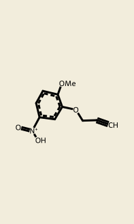 C#CCOc1cc([N+](=O)O)ccc1OC